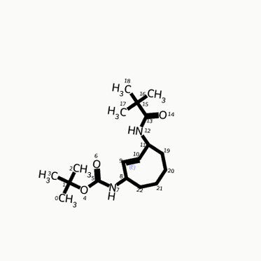 CC(C)(C)OC(=O)NC1/C=C/C(NC(=O)C(C)(C)C)CCCC1